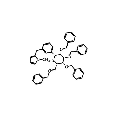 Cn1cccc1Cc1cccc([C@@H]2S[C@H](COCc3ccccc3)[C@@H](OCc3ccccc3)[C@H](OCc3ccccc3)[C@H]2OCc2ccccc2)c1